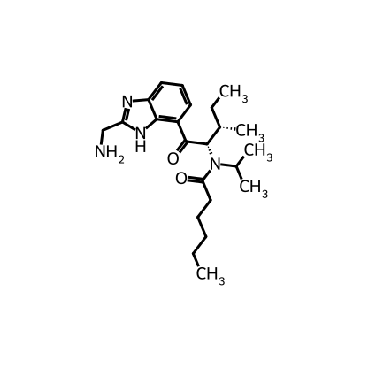 CCCCCC(=O)N(C(C)C)[C@H](C(=O)c1cccc2nc(CN)[nH]c12)[C@@H](C)CC